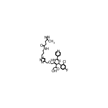 CC1(CCC(=O)NCCCn2cc(COCC3=C(C(=O)CO)C(c4ccc(F)cc4Cl)N=C(c4ccncc4)N3)nn2)N=N1